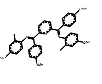 COc1ccc(/C(=N\c2ccc(OC)cc2C)c2cccc(/C(=N/c3ccc(OC)cc3C)c3ccc(OC)cc3)n2)cc1